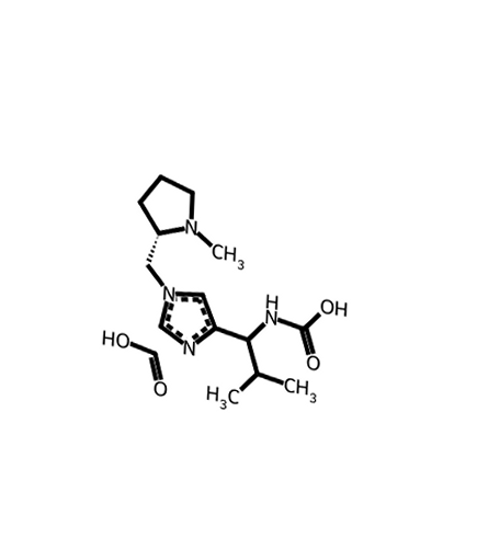 CC(C)C(NC(=O)O)c1cn(C[C@@H]2CCCN2C)cn1.O=CO